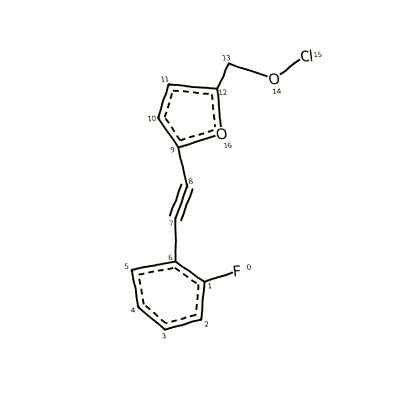 Fc1ccccc1C#Cc1ccc(COCl)o1